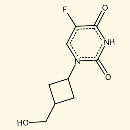 O=c1[nH]c(=O)n(C2CC(CO)C2)cc1F